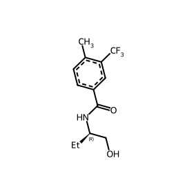 CC[C@H](CO)NC(=O)c1ccc(C)c(C(F)(F)F)c1